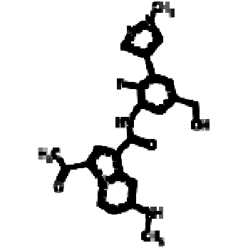 CNc1ccn2c(C(C)=O)cc(C(=O)Nc3cc(CO)cc(-c4cnn(C)c4)c3F)c2c1